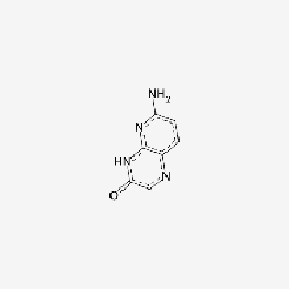 Nc1ccc2ncc(=O)[nH]c2n1